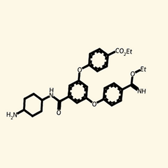 CCOC(=N)c1ccc(Oc2cc(Oc3ccc(C(=O)OCC)cc3)cc(C(=O)NC3CCC(N)CC3)c2)cc1